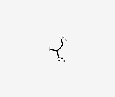 FC(F)(F)CC(I)C(F)(F)F